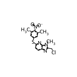 Cc1cc(Sc2ccc3nc(CCl)n(C)c3n2)cc(C)c1[N+](=O)[O-]